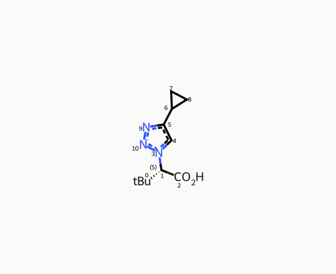 CC(C)(C)[C@@H](C(=O)O)n1cc(C2CC2)nn1